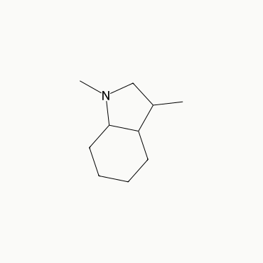 CC1CN(C)C2CCCCC12